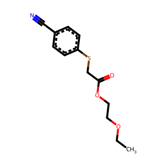 CCOCCOC(=O)CSc1ccc(C#N)cc1